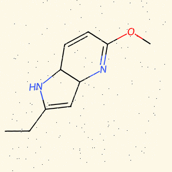 CCC1=CC2N=C(OC)C=CC2N1